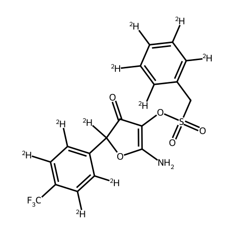 [2H]c1c([2H])c([2H])c(CS(=O)(=O)OC2=C(N)OC([2H])(c3c([2H])c([2H])c(C(F)(F)F)c([2H])c3[2H])C2=O)c([2H])c1[2H]